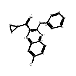 N=C(c1nc2cc(Cl)ccc2nc1Cc1ccccc1)C1CC1